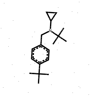 CC(C)(C)c1ccc(CN(C2CC2)C(C)(C)C)cc1